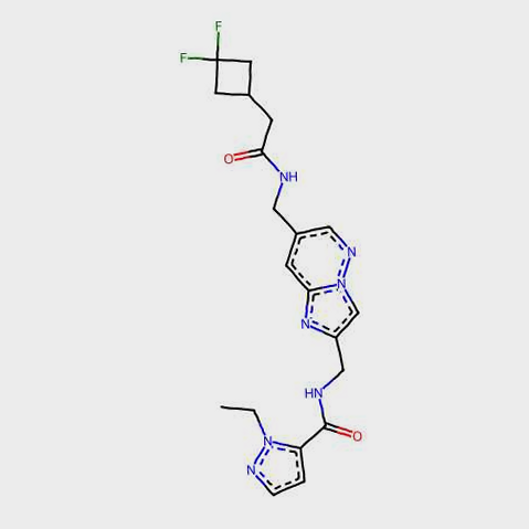 CCn1nccc1C(=O)NCc1cn2ncc(CNC(=O)CC3CC(F)(F)C3)cc2n1